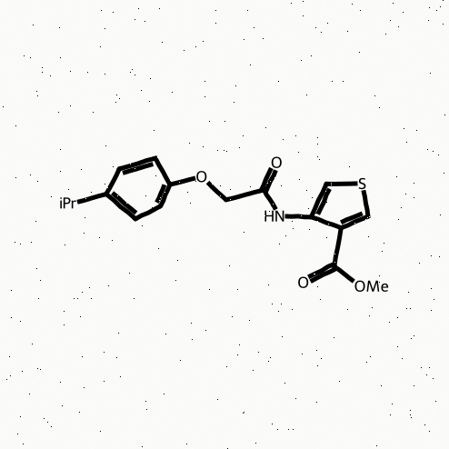 COC(=O)c1cscc1NC(=O)COc1ccc(C(C)C)cc1